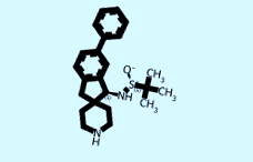 CC(C)(C)[S@@+]([O-])N[C@@H]1c2cc(-c3ccccc3)ccc2CC12CCNCC2